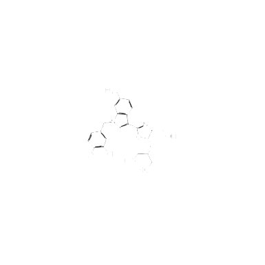 Cc1ccc2c(C3=N[C@H](CO)[C@H](OC(CO)CO)O3)cn(Cc3ccc(Cl)c(Cl)c3)c2c1